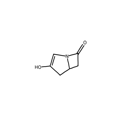 O=C1CC2CC(O)=CN12